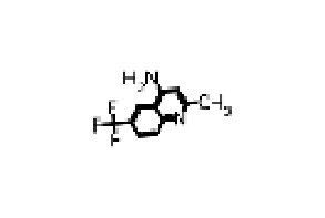 Cc1cc(N)c2cc(C(F)(F)F)ccc2n1